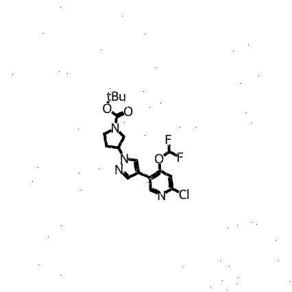 CC(C)(C)OC(=O)N1CCC(n2cc(-c3cnc(Cl)cc3OC(F)F)cn2)C1